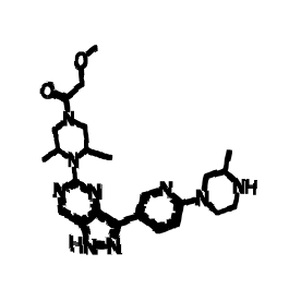 COCC(=O)N1CC(C)N(c2ncc3[nH]nc(-c4ccc(N5CCNC(C)C5)nc4)c3n2)C(C)C1